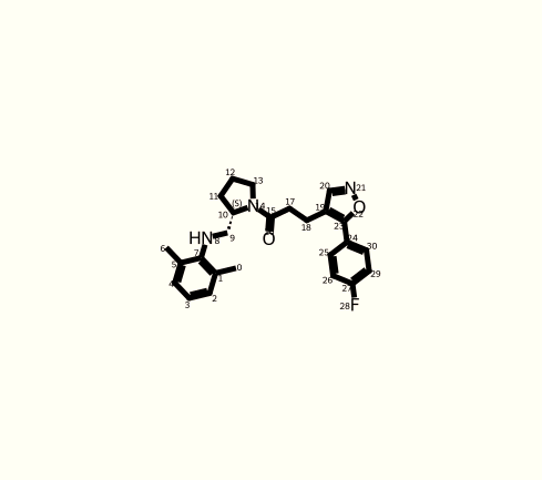 Cc1cccc(C)c1NC[C@@H]1CCCN1C(=O)CCc1cnoc1-c1ccc(F)cc1